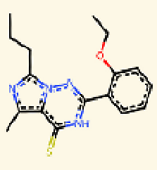 CCCc1nc(C)c2c(=S)[nH]c(-c3ccccc3OCC)nn12